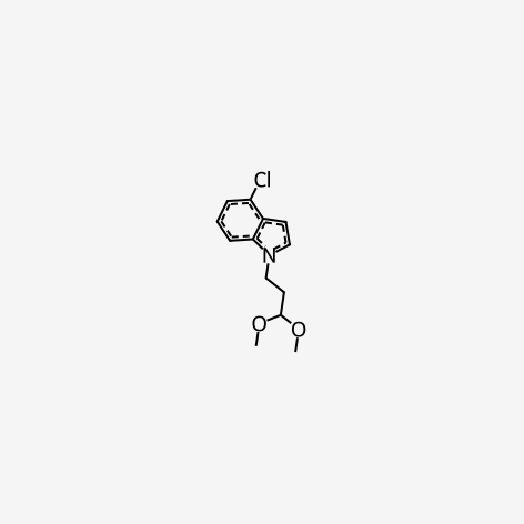 COC(CCn1ccc2c(Cl)cccc21)OC